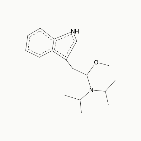 COC(Cc1c[nH]c2ccccc12)N(C(C)C)C(C)C